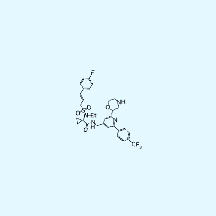 CCN(C1(C(=O)NCc2cc(-c3ccc(C(F)(F)F)cc3)nc(C3CNCCO3)c2)CC1)S(=O)(=O)CC=Cc1ccc(F)cc1